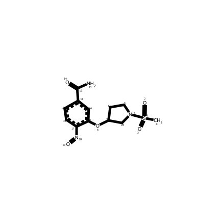 CS(=O)(=O)N1CCC(Oc2cc(C(N)=O)ccc2N=O)C1